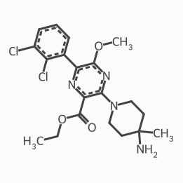 CCOC(=O)c1nc(-c2cccc(Cl)c2Cl)c(OC)nc1N1CCC(C)(N)CC1